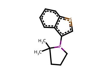 CC1(C)CCCP1c1csc2ccccc12